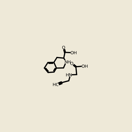 C#CCNCC(=O)O.O=C(O)C1Cc2ccccc2CN1